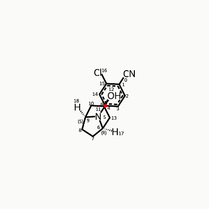 N#Cc1ccc(N2[C@@H]3CC[C@H]2C[C@@H](O)C3)cc1Cl